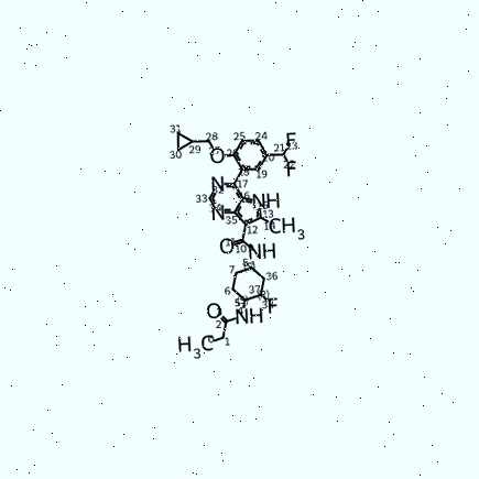 CCC(=O)N[C@H]1CC[C@H](NC(=O)c2c(C)[nH]c3c(-c4cc(C(F)F)ccc4OCC4CC4)ncnc23)C[C@H]1F